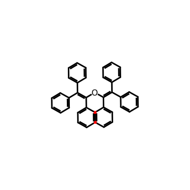 c1ccc(C(OC(=C(c2ccccc2)c2ccccc2)c2ccccc2)=C(c2ccccc2)c2ccccc2)cc1